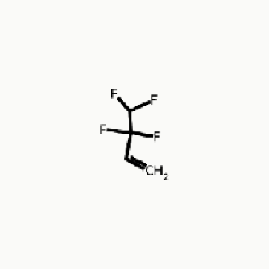 C=CC(F)(F)C(F)F